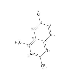 Cc1nc(C(F)(F)F)nc2ncc(Cl)cc12